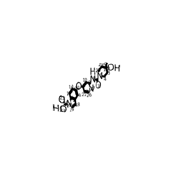 CC1(O)CCN(C(=O)Nc2cc(Oc3ccc4c(ccn4C(=O)O)c3)ccn2)CC1